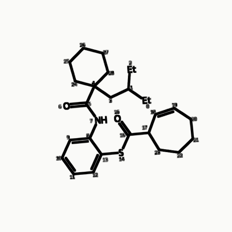 CCC(CC)CC1(C(=O)Nc2ccccc2SC(=O)C2C=CCCCC2)CCCCC1